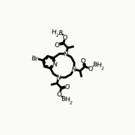 BOC(=O)C(C)N1CCN(C(C)C(=O)OB)Cc2cc(Br)cc(n2)CN(C(C)C(=O)OB)CC1